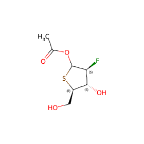 CC(=O)OC1S[C@H](CO)[C@@H](O)[C@@H]1F